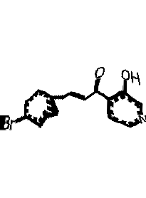 O=C(C=Cc1ccc(Br)cc1)c1ccncc1O